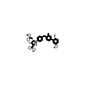 COC(=O)C[C@H]1[C@H](C)C(C(=O)OC)=NN1c1ccc(Cc2ccc(-c3cc(OC)ccc3F)cc2C)cc1